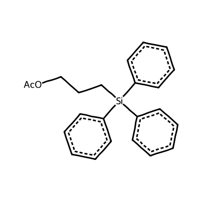 CC(=O)OCCC[Si](c1ccccc1)(c1ccccc1)c1ccccc1